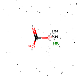 Br.O=C(O)O.[KH].[LiH]